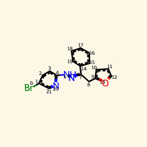 Brc1ccc(N/N=C(/Cc2ccco2)c2ccccc2)nc1